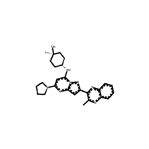 Cc1nc2ccccc2nc1-c1cc2nc(N3CCCC3)cc(N[C@H]3CC[C@](C)(O)CC3)n2n1